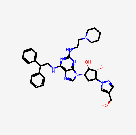 OCc1cnn(C2C[C@@H](n3cnc4c(NCC(c5ccccc5)c5ccccc5)nc(NCCN5CCCCC5)nc43)[C@H](O)[C@@H]2O)c1